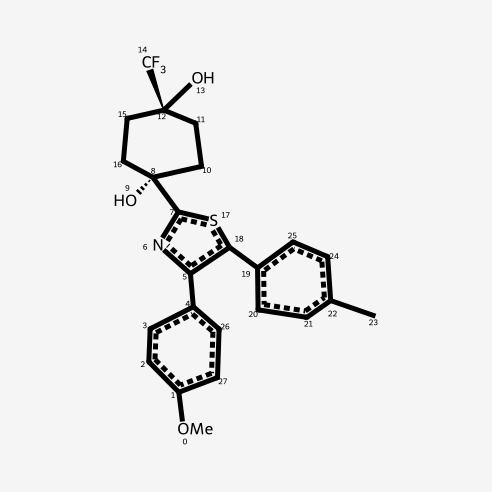 COc1ccc(-c2nc([C@]3(O)CC[C@](O)(C(F)(F)F)CC3)sc2-c2ccc(C)cc2)cc1